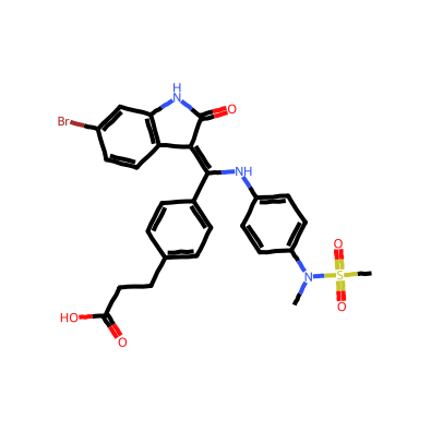 CN(c1ccc(N/C(=C2\C(=O)Nc3cc(Br)ccc32)c2ccc(CCC(=O)O)cc2)cc1)S(C)(=O)=O